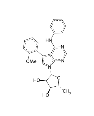 COc1ccccc1-c1cn([C@@H]2O[C@H](C)[C@@H](O)[C@H]2O)c2ncnc(Nc3ccccc3)c12